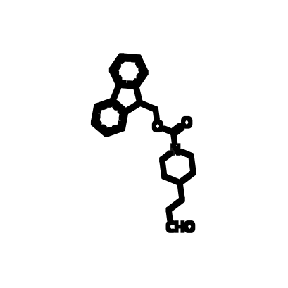 O=CCCC1CCN(C(=O)OCC2c3ccccc3-c3ccccc32)CC1